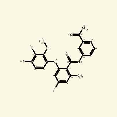 COc1c(Oc2cc(F)cc(C)c2C(=O)Nc2ccnc(C(N)=O)c2)ccc(F)c1F